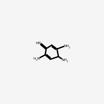 N=C1C=C(N)C(N)C=C1N